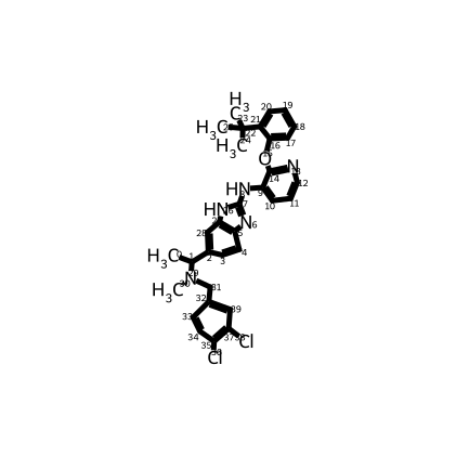 CC(c1ccc2nc(Nc3cccnc3Oc3ccccc3C(C)(C)C)[nH]c2c1)N(C)Cc1ccc(Cl)c(Cl)c1